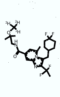 [2H]C([2H])([2H])OC(C)(C)CNC(=O)c1cc(C)n2c(CC3CCC(F)(F)CC3)c(C(C)(F)F)nc2c1